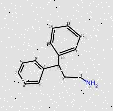 NC[CH]C(c1ccccc1)c1ccccc1